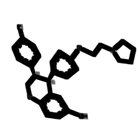 Oc1ccc2c(c1)[C@H](c1ccc(OCCN3CCCC3)cc1)[C@H](c1ccc(Cl)cc1)CO2